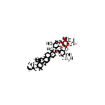 C/C=C\C(=O)O[C@H]1[C@H](OC(C)=O)[C@]2(CO)[C@H](O)C[C@]3(C)C(=CC[C@@H]4[C@@]5(C)CC[C@H](O[C@@H]6O[C@H](C(=O)O)[C@@H](O)[C@H](O[C@@H]7OC[C@H](O)[C@H](O)[C@H]7O[C@@H]7OC[C@@H](O)[C@H](O)[C@H]7O)[C@H]6O[C@@H]6O[C@H](CO)[C@H](O)[C@H](O)[C@H]6O)C(C)(C)C5CC[C@]43C)[C@@H]2CC1(C)C